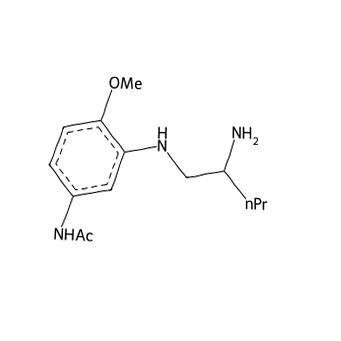 CCCC(N)CNc1cc(NC(C)=O)ccc1OC